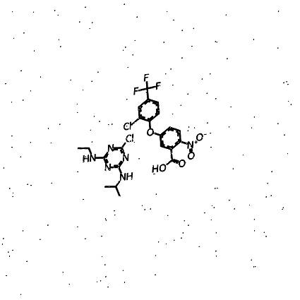 CCNc1nc(Cl)nc(NC(C)C)n1.O=C(O)c1cc(Oc2ccc(C(F)(F)F)cc2Cl)ccc1[N+](=O)[O-]